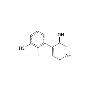 Cc1c(S)cccc1C1=CCNC[C@@H]1O